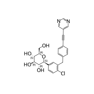 OC[C@H]1O[C@@H](c2ccc(Cl)c(Cc3ccc(C#Cc4cncnc4)cc3)c2)[C@H](O)[C@@H](O)[C@@H]1O